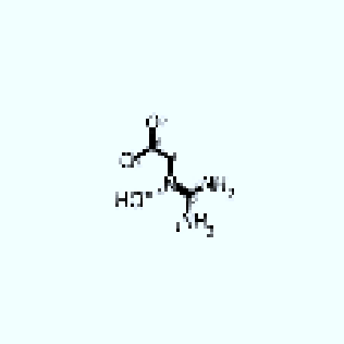 Cl.NC(N)=NCC(=O)Cl